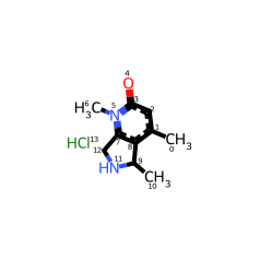 Cc1cc(=O)n(C)c2c1C(C)NC2.Cl